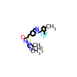 Cc1ccc(Cn2ncc3cc(/C=C4\SC(N5CCN(C)C(C)(C)C5)=NC4=O)ccc32)c(C(F)(F)F)c1